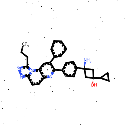 N[C@]1(c2ccc(-c3nc4ccc5nnc(CCC(F)(F)F)n5c4cc3-c3ccccc3)cc2)C[C@](O)(C2CC2)C1